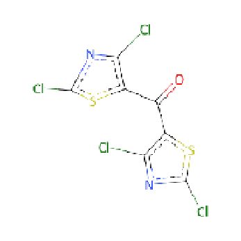 O=C(c1sc(Cl)nc1Cl)c1sc(Cl)nc1Cl